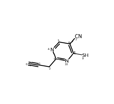 C#CCc1ncc(C#N)c(S)n1